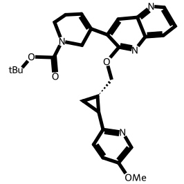 COc1ccc(C2C[C@@H]2COc2nc3cccnc3cc2C2=CCCN(C(=O)OC(C)(C)C)C2)nc1